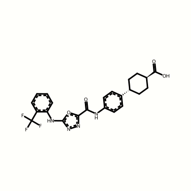 O=C(Nc1ccc([C@H]2CC[C@H](C(=O)O)CC2)cc1)c1nnc(Nc2ccccc2C(F)(F)F)o1